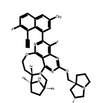 C#Cc1c(F)ccc2cc(O)cc(-c3nc4c5c(nc(OC[C@@]67CCCN6C[C@H](F)C7)nc5c3F)N3C[C@H]5CC[C@H](N5)[C@@H]3CCO4)c12